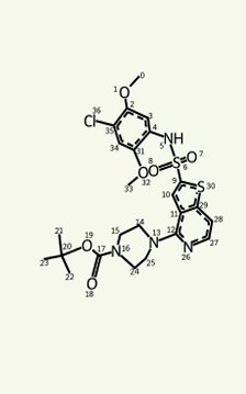 COc1cc(NS(=O)(=O)c2cc3c(N4CCN(C(=O)OC(C)(C)C)CC4)nccc3s2)c(OC)cc1Cl